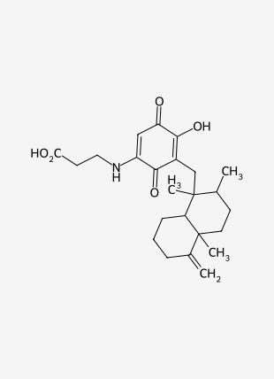 C=C1CCCC2C1(C)CCC(C)C2(C)CC1=C(O)C(=O)C=C(NCCC(=O)O)C1=O